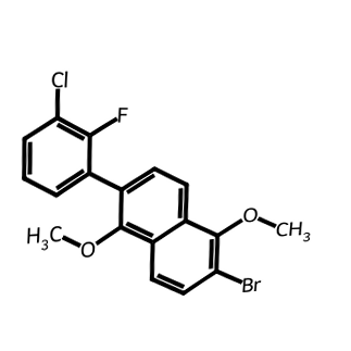 COc1c(Br)ccc2c(OC)c(-c3cccc(Cl)c3F)ccc12